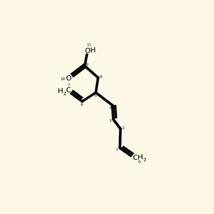 C=CC/C=C/C(C=C)CC(=O)O